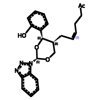 CC(=O)CC/C=C\C[C@@H]1CO[C@H](n2nnc3ccccc32)O[C@@H]1c1ccccc1O